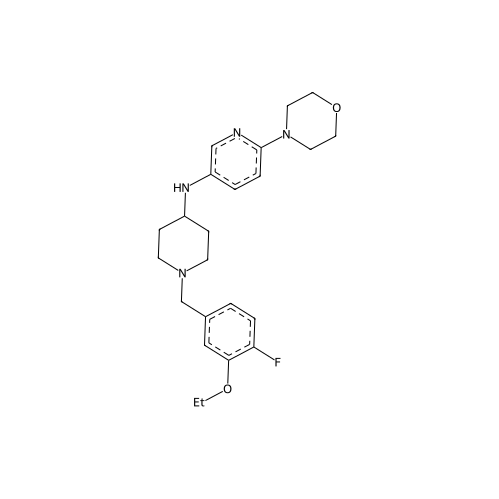 CCOc1cc(CN2CCC(Nc3ccc(N4CCOCC4)nc3)CC2)ccc1F